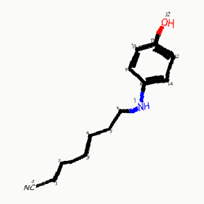 N#CCCCCCCNc1ccc(O)cc1